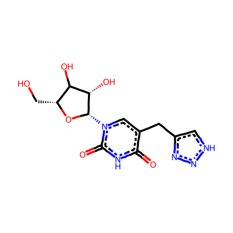 O=c1[nH]c(=O)n([C@@H]2O[C@H](CO)C(O)[C@@H]2O)cc1Cc1c[nH]nn1